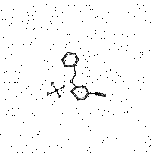 F[B-](F)(F)F.N#[N+]c1cccc(OCc2ccccc2)c1